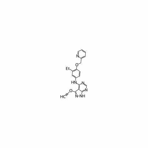 C#COc1n[nH]c2ncnc(Nc3ccc(OCc4ccccn4)c(CC)c3)c12